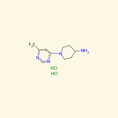 Cl.Cl.NC1CCN(c2cc(C(F)(F)F)ncn2)CC1